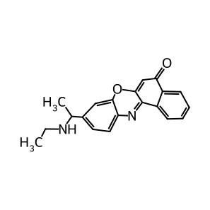 CCNC(C)c1ccc2nc3c4ccccc4c(=O)cc-3oc2c1